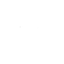 C=C(C)C(=O)OCC(C)CC(CC)C(CC)CC(C)C